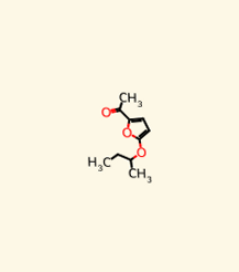 CCC(C)Oc1ccc(C(C)=O)o1